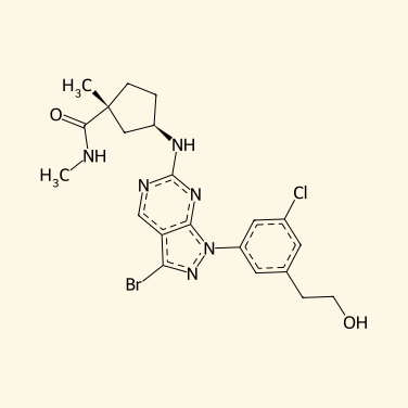 CNC(=O)[C@]1(C)CC[C@@H](Nc2ncc3c(Br)nn(-c4cc(Cl)cc(CCO)c4)c3n2)C1